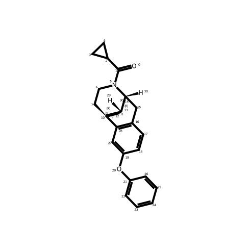 O=C(C1CC1)N1CC[C@]23CCCC[C@H]2[C@H]1Cc1ccc(Oc2ccccc2)cc13